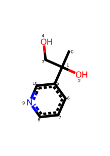 CC(O)(CO)c1cccnc1